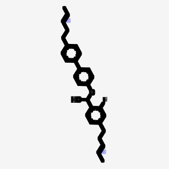 C/C=C/CCc1ccc(-c2ccc(OC(O)c3ccc(CC/C=C/C)cc3F)cc2)cc1